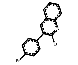 CCc1nc2ccccc2cc1-c1ccc(Br)cc1